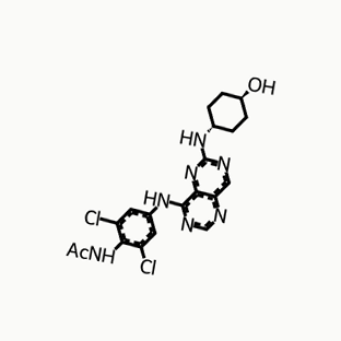 CC(=O)Nc1c(Cl)cc(Nc2ncnc3cnc(N[C@H]4CC[C@H](O)CC4)nc23)cc1Cl